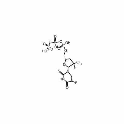 O=c1[nH]c(=S)n([C@@H]2O[C@H](COP(=O)(O)OP(=O)(O)OP(=O)(O)O)CC2(F)C(F)(F)F)cc1F